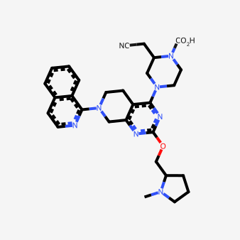 CN1CCCC1COc1nc2c(c(N3CCN(C(=O)O)C(CC#N)C3)n1)CCN(c1nccc3ccccc13)C2